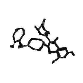 CCc1cc(F)c2nc(N3CCC(N[C@@H]4CCOC[C@H]4O)CC3)c(-c3cc(C)n(C)n3)c(C)c2c1